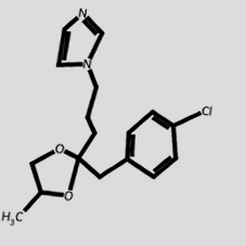 CC1COC(CCCn2ccnc2)(Cc2ccc(Cl)cc2)O1